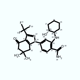 CC1(C)CC(=O)c2c(C(F)(F)F)nn(-c3ccc(C(N)=O)c(N[C@@H]4CCCC[C@H]4O)c3)c2C1